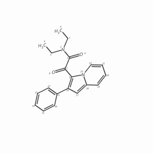 CCN(CC)C(=O)C(=O)c1c(-c2ccccc2)cc2ccccn12